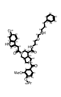 COc1cc(C(=O)N2CC3CN(C(=O)Cc4c[nH]c5cc(Cl)ccc45)CC(C(=O)NCCOCNCCCc4ccccc4)C3C2)ccc1OC(C)C